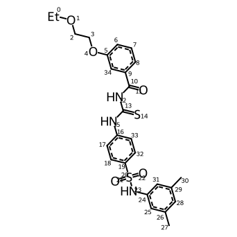 CCOCCOc1cccc(C(=O)NC(=S)Nc2ccc(S(=O)(=O)Nc3cc(C)cc(C)c3)cc2)c1